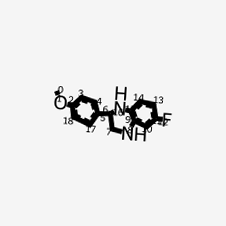 COc1ccc(C2CNc3cc(F)ccc3N2)cc1